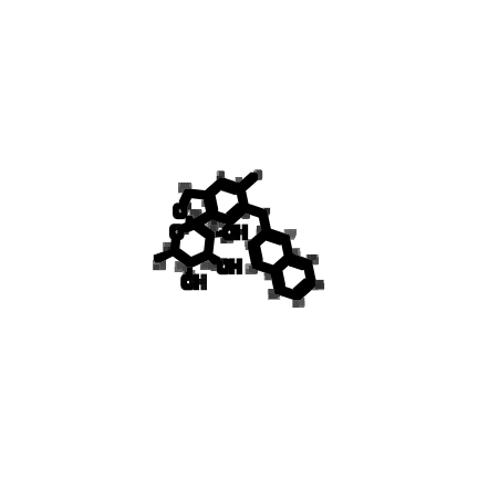 Cc1cc2c(cc1Cc1ccc3ccccc3c1)[C@]1(OC2)O[C@H](C)[C@@H](O)[C@H](O)[C@H]1O